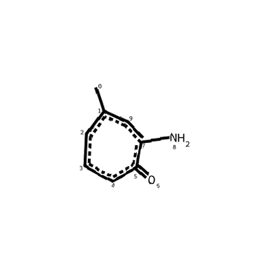 Cc1cccc(=O)c(N)c1